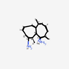 CC1CCCC(C)C2CCCCC(N)[C@H](C)C2C1N